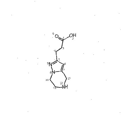 O=C(O)CCc1cc2n(n1)CCNC2